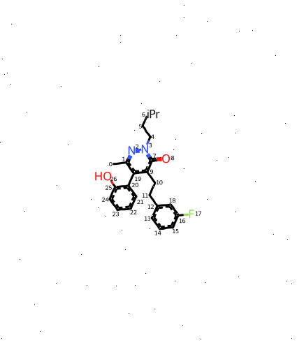 Cc1nn(CCC(C)C)c(=O)c(CCc2cccc(F)c2)c1-c1ccccc1O